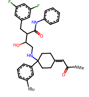 CNC(=O)C=C1CCC(NCC(O)C(Cc2cc(F)cc(F)c2)C(=O)Nc2ccccc2)(c2cccc(C(C)(C)C)c2)CC1